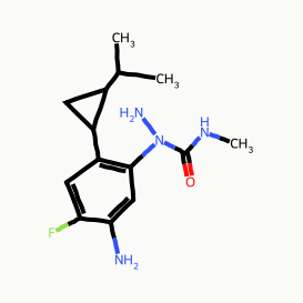 CNC(=O)N(N)c1cc(N)c(F)cc1C1CC1C(C)C